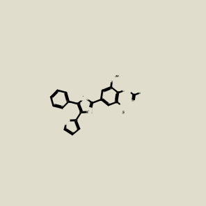 COc1cc(-c2nc(-c3cccs3)c(-c3ccccc3)[nH]2)cc(OC)c1OC(C)=O